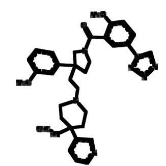 COc1cccc(C2(CCN3CCC(NC=O)(c4cccnc4)CC3)CCN(C(=O)c3cc(-n4cnnn4)ccc3OC)C2)c1